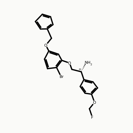 N[C@@H](COc1cc(OCc2ccccc2)ccc1Br)c1ccc(OCF)cc1